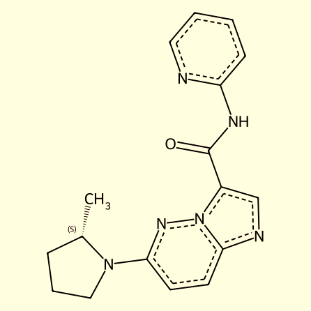 C[C@H]1CCCN1c1ccc2ncc(C(=O)Nc3ccccn3)n2n1